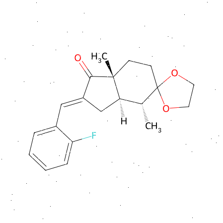 C[C@@H]1[C@H]2C/C(=C\c3ccccc3F)C(=O)[C@]2(C)CCC12OCCO2